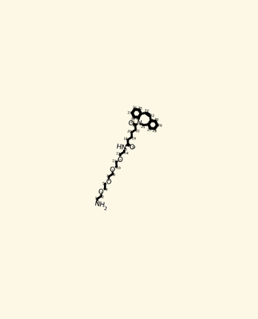 NCCOCCOCCOCCOCCNC(=O)CCCCC(=O)N1Cc2ccccc2C#Cc2ccccc21